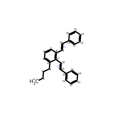 CCCCc1cccc(/C=C/c2ccccc2)c1/C=C/c1ccccc1